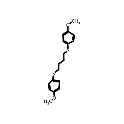 COc1ccc(SCCCCSc2ccc(OC)cc2)cc1